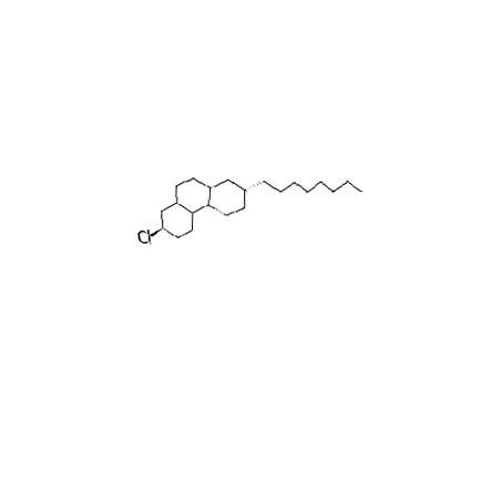 CCCCCCCC[C@@H]1CCC2C(CCC3C[C@H](Cl)CCC32)C1